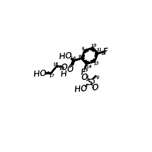 CS(=O)(=O)O.O=C(O)c1ccc(F)cc1F.OCCO